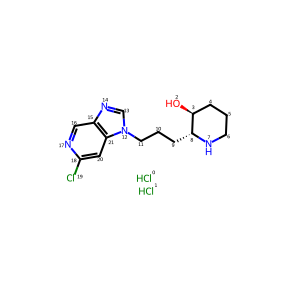 Cl.Cl.O[C@H]1CCCN[C@@H]1CCCn1cnc2cnc(Cl)cc21